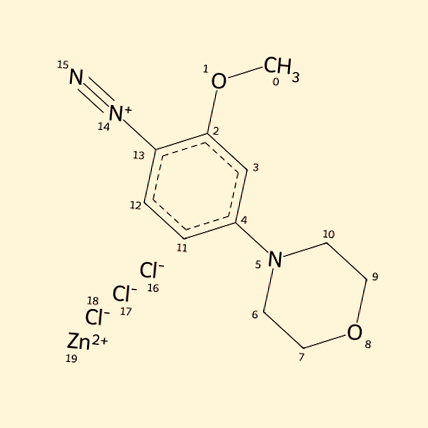 COc1cc(N2CCOCC2)ccc1[N+]#N.[Cl-].[Cl-].[Cl-].[Zn+2]